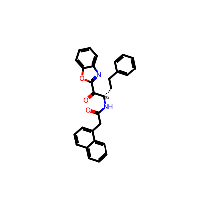 O=C(Cc1cccc2ccccc12)N[C@@H](CCc1ccccc1)C(=O)c1nc2ccccc2o1